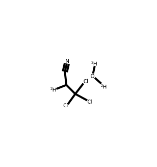 [2H]C(C#N)C(Cl)(Cl)Cl.[2H]O[2H]